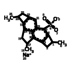 CC1Cc2c1c(S(=O)(=O)[O-])c1cc3c(c4c1c2C(C)C4)C(C)C3.[Na+]